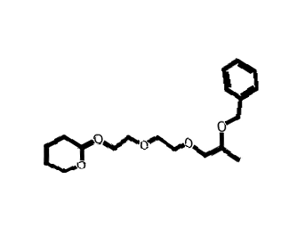 CC(COCCOCCOC1CCCCO1)OCc1ccccc1